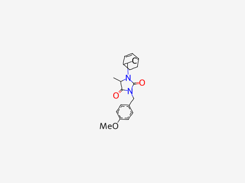 COc1ccc(CN2C(=O)C(C)N(C3CC4C=CC3CC4)C2=O)cc1